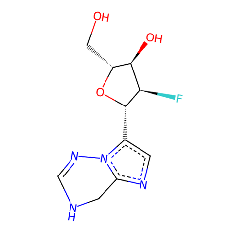 OC[C@H]1O[C@@H](c2cnc3n2N=CNC3)[C@H](F)[C@@H]1O